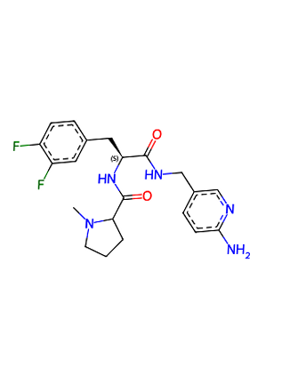 CN1CCCC1C(=O)N[C@@H](Cc1ccc(F)c(F)c1)C(=O)NCc1ccc(N)nc1